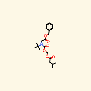 CC(C)CC(=O)OCOC(=O)N(CC(=O)OCc1ccccc1)C(C)(C)C